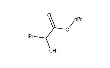 C[CH]COC(=O)C(C)C(C)C